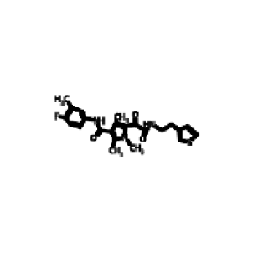 Cc1cc(NC(=O)c2c(C)c(C(=O)C(=O)NCCc3ccsc3)n(C)c2C)ccc1F